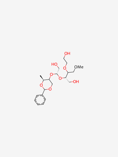 COCC(OCCO)[C@H](CO)O[C@@H](CO)OC1COC(c2ccccc2)O[C@H]1C